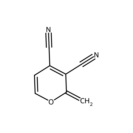 C=C1OC=CC(C#N)=C1C#N